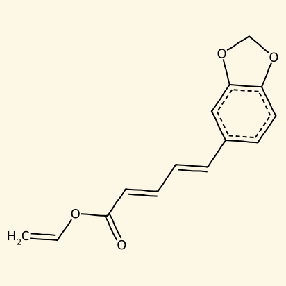 C=COC(=O)C=CC=Cc1ccc2c(c1)OCO2